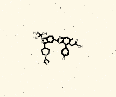 BC(O)(O)n1nc(C2CCN(C3COC3)CC2)c2cc(-c3nc4cc(C)c(CC(=O)O)c(-c5ccc(Cl)cc5)c4s3)ccc21